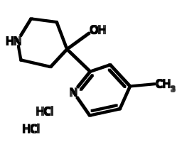 Cc1ccnc(C2(O)CCNCC2)c1.Cl.Cl